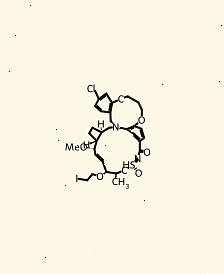 CO[C@H]1/C=C/[C@H](OCCI)[C@H](C)C/[SH](=O)=N\C(=O)c2ccc3c(c2)N(Cc2ccc(Cl)cc2CCCCO3)C[C@@H]2CC[C@H]21